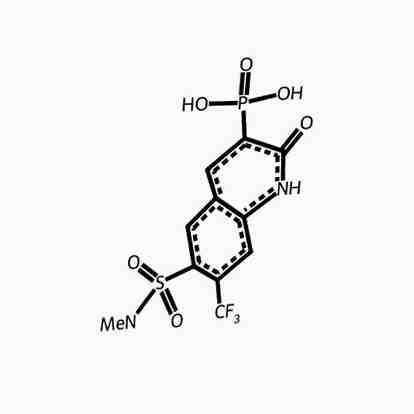 CNS(=O)(=O)c1cc2cc(P(=O)(O)O)c(=O)[nH]c2cc1C(F)(F)F